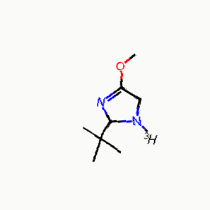 [3H]N1CC(OC)=NC1C(C)(C)C